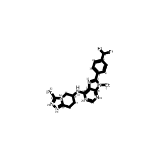 CCn1c(-c2ccc(C(F)F)cc2)nc2c(NC3CCc4nnc(C(C)C)n4C3)ncnc21